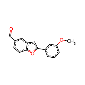 COc1cccc(-c2cc3cc(C=O)ccc3o2)c1